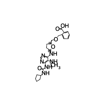 CNc1c(NC(=O)NC2CCCC2)ncnc1N[C@H]1CC[C@@H](COCc2ccccc2C(=O)O)O1